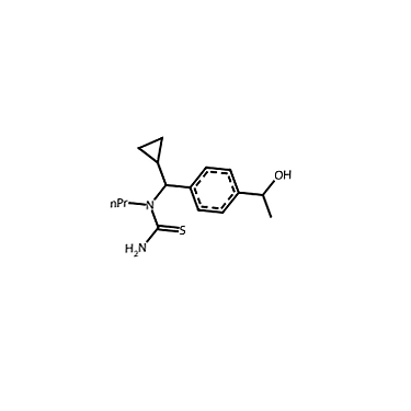 CCCN(C(N)=S)C(c1ccc(C(C)O)cc1)C1CC1